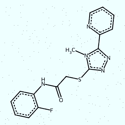 Cn1c(SCC(=O)Nc2ccccc2F)nnc1-c1ccccn1